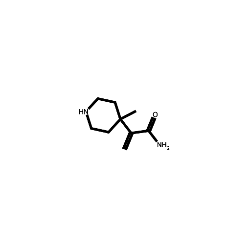 C=C(C(N)=O)C1(C)CCNCC1